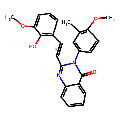 COc1ccc(-n2c(/C=C/c3cccc(OC)c3O)nc3ccccc3c2=O)cc1C